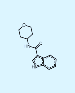 O=C(NC1CCOCC1)c1c[nH]c2ccccc12